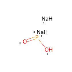 O=PO.[NaH].[NaH]